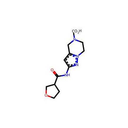 O=C(Nc1cc2n(n1)CCN(C(=O)O)C2)C1CCOC1